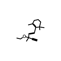 C#CC(C)(/C=C/C1=C(C)CCCC1(C)C)OCC